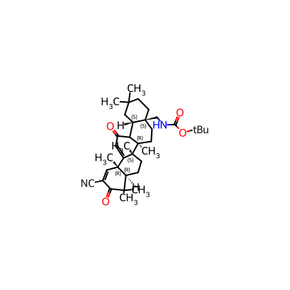 CC1(C)CC[C@]2(CNC(=O)OC(C)(C)C)CC[C@]3(C)C(C(=O)C=C4[C@@]5(C)C=C(C#N)C(=O)C(C)(C)[C@@H]5CC[C@]43C)[C@@H]2C1